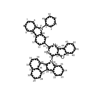 c1ccc(-n2c3ccccc3c3ccc(-c4nc(-n5c6c(c7ccccc75)-c5cccc7cccc-6c57)c5oc6ccccc6c5n4)cc32)cc1